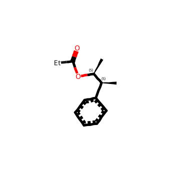 CCC(=O)O[C@@H](C)[C@@H](C)c1ccccc1